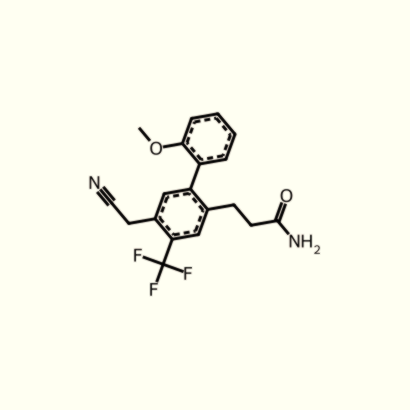 COc1ccccc1-c1cc(CC#N)c(C(F)(F)F)cc1CCC(N)=O